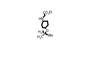 CCOC(=O)CN[C@H]1CC[C@H](O[Si](C)(C)C(C)(C)C)CC1